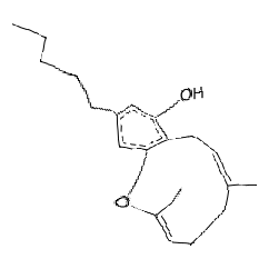 CCCCCc1cc(O)c2c(c1)O/C(C)=C/CC/C(C)=C\C2